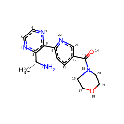 C[C@@H](N)c1nccnc1-c1ccc(C(=O)N2CCOCC2)cn1